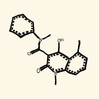 Cc1cccc2c1c(O)c(C(=O)N(C)c1ccccc1)c(=O)n2C